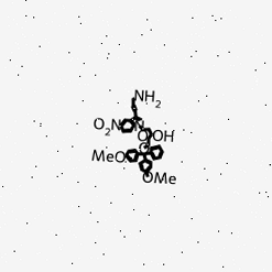 COc1ccc(C(OCC2OC(n3cc(C#CCN)c4cc([N+](=O)[O-])ccc43)CC2O)(c2ccccc2)c2ccc(OC)cc2)cc1